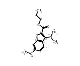 CCCOC(=O)c1oc2cc(OC)ccc2c1N(C)C